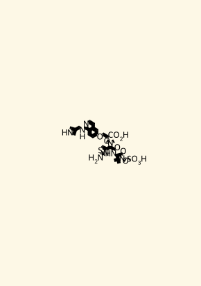 CN(O[C@@H](COc1ccc2c(NCC3CNC3)nccc2c1)C(=O)O)C(C(=O)N[C@@H]1C(=O)N(OS(=O)(=O)O)C1(C)C)c1csc(N)n1